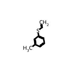 C=CSc1cccc(C)c1